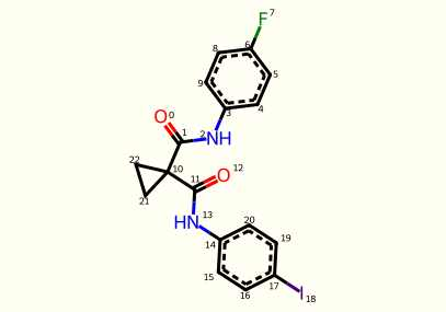 O=C(Nc1ccc(F)cc1)C1(C(=O)Nc2ccc(I)cc2)CC1